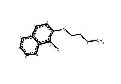 CCCCOc1ccc2ccccc2c1[O]